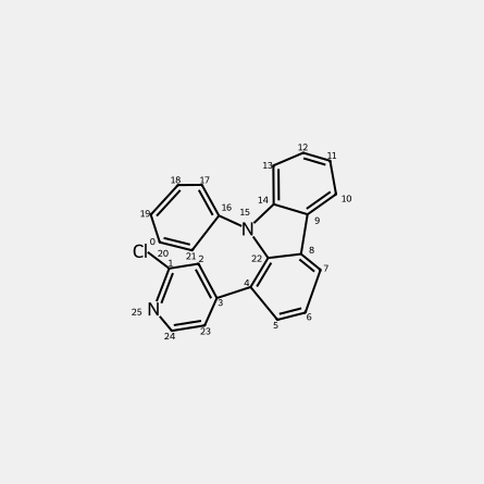 Clc1cc(-c2cccc3c4ccccc4n(-c4ccccc4)c23)ccn1